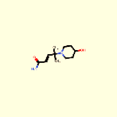 CC(C)(/C=C/C(N)=O)N1CCC(O)CC1